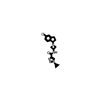 O=C(NC1CN(C2CCc3cc(Cl)ccc32)C1)c1cn(C2CC2)nn1